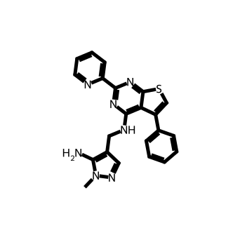 Cn1ncc(CNc2nc(-c3ccccn3)nc3scc(-c4ccccc4)c23)c1N